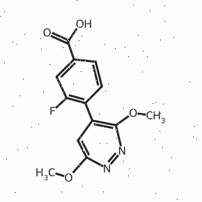 COc1cc(-c2ccc(C(=O)O)cc2F)c(OC)nn1